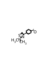 CN(C)c1nc(-c2ccc([C]=O)cc2)cs1